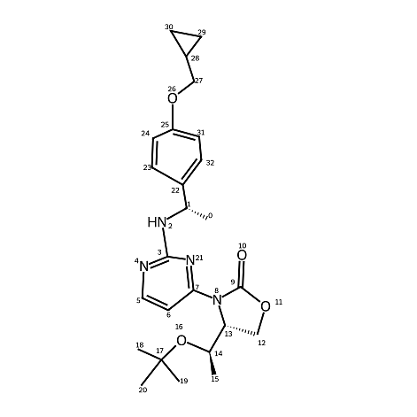 C[C@H](Nc1nccc(N2C(=O)OC[C@@H]2[C@@H](C)OC(C)(C)C)n1)c1ccc(OCC2CC2)cc1